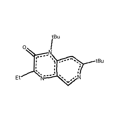 CCc1nc2cnc(C(C)(C)C)cc2n(C(C)(C)C)c1=O